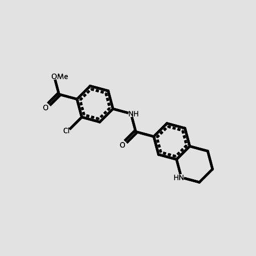 COC(=O)c1ccc(NC(=O)c2ccc3c(c2)NCCC3)cc1Cl